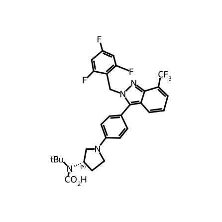 CC(C)(C)N(C(=O)O)[C@H]1CCN(c2ccc(-c3c4cccc(C(F)(F)F)c4nn3Cc3c(F)cc(F)cc3F)cc2)C1